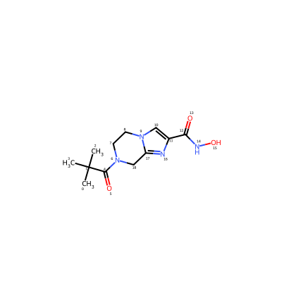 CC(C)(C)C(=O)N1CCn2cc(C(=O)NO)nc2C1